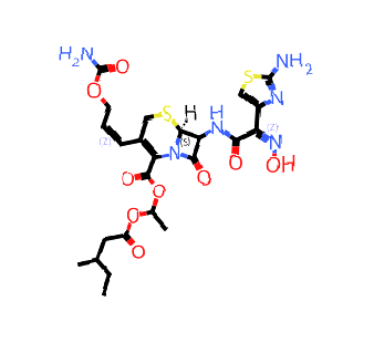 CCC(C)CC(=O)OC(C)OC(=O)C1=C(/C=C\COC(N)=O)CS[C@H]2C(NC(=O)/C(=N\O)c3csc(N)n3)C(=O)N12